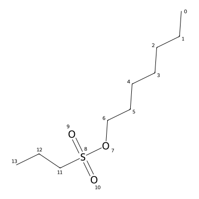 CCCCCCCOS(=O)(=O)CCC